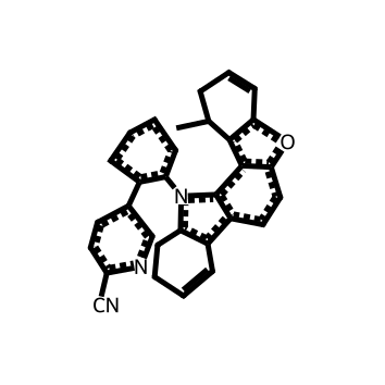 CC1CC=Cc2oc3ccc4c5c(n(-c6ccccc6-c6ccc(C#N)nc6)c4c3c21)CCC=C5